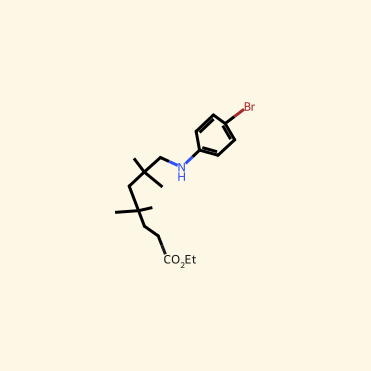 CCOC(=O)CCC(C)(C)CC(C)(C)CNc1ccc(Br)cc1